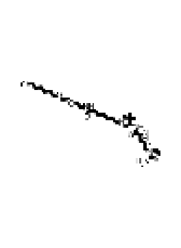 CC1(C)CN(CCCCCCC(=O)NCCOCCOCCCCCCCl)C[C@@H]1NC(=O)[C@@H](N)CCCn1ccnc1N